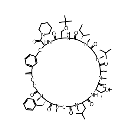 C=C1CCC(=O)N(C)[C@@H](Cc2ccccc2)C(=O)N(C)CC(=O)N(C)C(CC(C)C)C(=O)N[C@@H]([C@@H](C)O)C(=O)N(C)C(C)C(=O)N(C)[C@@H](CC(C)C)C(=O)N(C)[C@@H](C(C)CC)C(=O)NC(COC(C)(C)C)C(=O)NC(C(=O)N2CCCCC2)Cc2cccc1c2